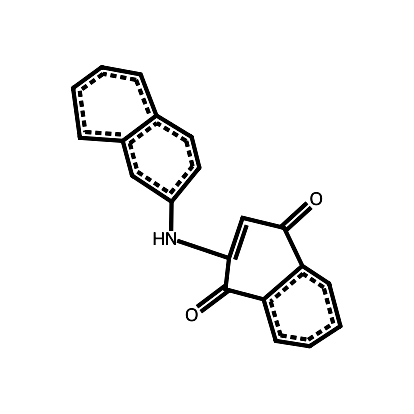 O=C1C=C(Nc2ccc3ccccc3c2)C(=O)c2ccccc21